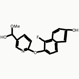 COC(O)c1ccc(Oc2ccc3cc(O)ccc3c2F)nc1